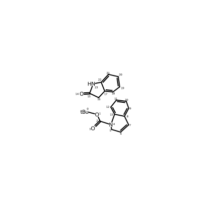 CC(C)(C)OC(=O)N1CC=Cc2ccccc21.O=C1Cc2ccccc2N1